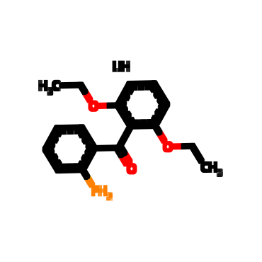 CCOc1cccc(OCC)c1C(=O)c1ccccc1P.[LiH]